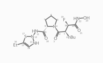 CCCC[C@@H](C(=O)N1CCC[C@H]1C(=O)NN1NC=C(CC)S1)[C@@H](F)C(=O)NO